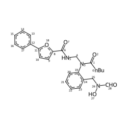 CCCCC(=O)N(CNC(=O)c1ccc(-c2ccccc2)o1)c1ccccc1CN(O)C=O